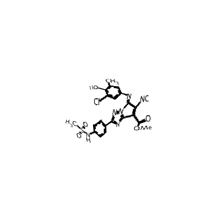 [C-]#[N+]C1=C(C(=O)OC)c2nc(-c3ccc(NS(C)(=O)=O)cc3)nn2C1=Nc1cc(C)c(O)c(Cl)c1